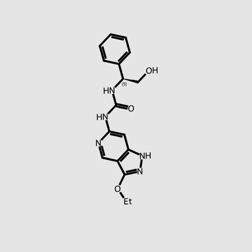 CCOc1n[nH]c2cc(NC(=O)N[C@H](CO)c3ccccc3)ncc12